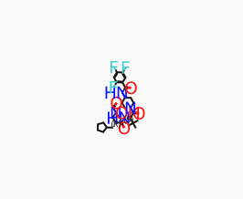 CC(C)(C)[C@H](NC(=O)[C@H](CC1CCCC1)CN(O)C=O)C(=O)N1CCC(NC(=O)c2cc(F)c(F)cc2F)CC1